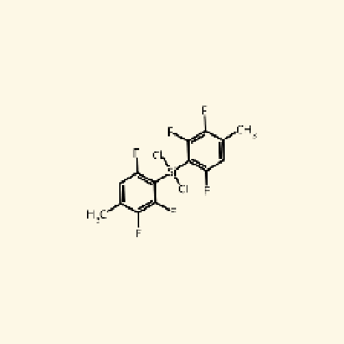 Cc1cc(F)c([Si](Cl)(Cl)c2c(F)cc(C)c(F)c2F)c(F)c1F